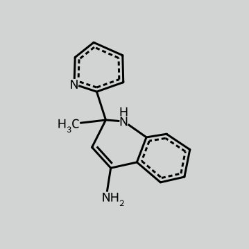 CC1(c2ccccn2)C=C(N)c2ccccc2N1